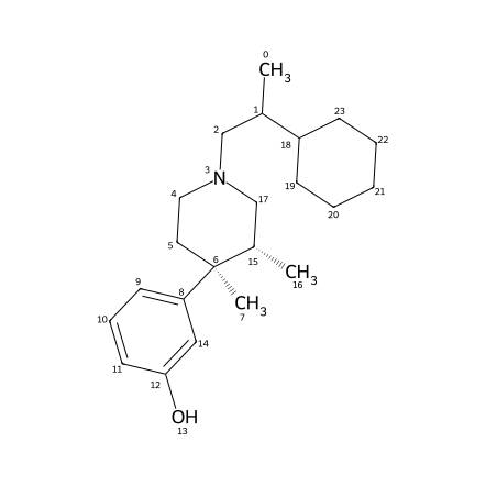 CC(CN1CC[C@](C)(c2cccc(O)c2)[C@@H](C)C1)C1CCCCC1